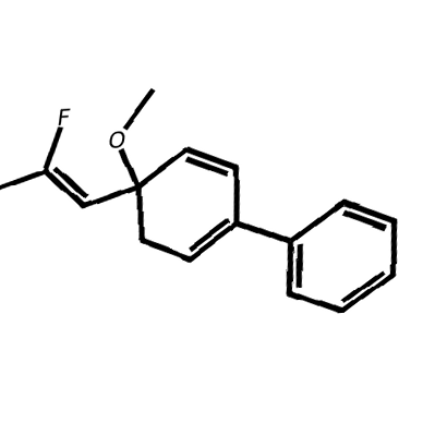 COC1(C=C(F)F)C=CC(c2ccccc2)=CC1